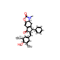 CN1C(=O)OC2=CC3=C(CC21)C(c1ccccc1)C(=Cc1cc(C(C)(C)C)c(O)c(C(C)(C)C)c1)C3=O